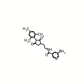 Bc1cncc(C(=O)NCCC2CC(=O)C(c3c(C)cc(C)cc3C)C2=O)c1